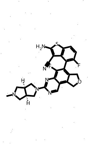 CN1C[C@@H]2CN(c3ncc4c5c(c(-c6c(F)ccc7sc(N)c(C#N)c67)c(F)c4n3)COC5)C[C@@H]2C1